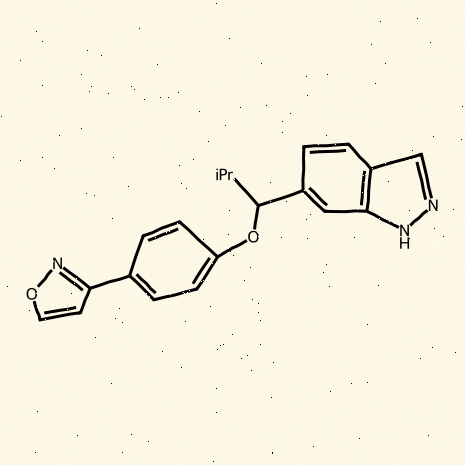 CC(C)C(Oc1ccc(-c2ccon2)cc1)c1ccc2cn[nH]c2c1